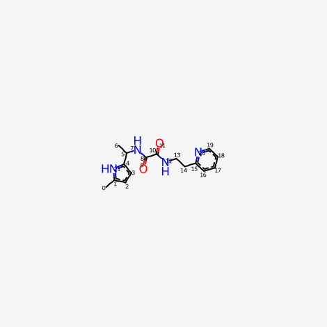 Cc1ccc(C(C)NC(=O)C(=O)NCCc2ccccn2)[nH]1